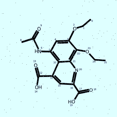 CCOc1cc(NC(C)=O)c2c(C(=O)O)cc(C(=O)O)nc2c1OCC